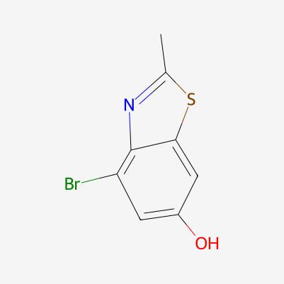 Cc1nc2c(Br)cc(O)cc2s1